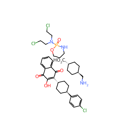 NC[C@H]1CC[C@H](C(=O)O)CC1.O=C1C(O)=C([C@H]2CC[C@H](c3ccc(Cl)cc3)CC2)C(=O)c2ccccc21.O=P1(N(CCCl)CCCl)NCCCO1